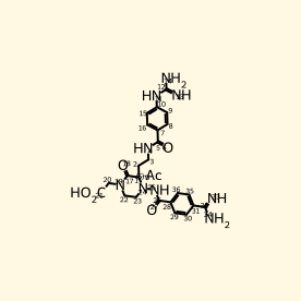 CC(=O)[C@@]1(CCNC(=O)c2ccc(NC(=N)N)cc2)C(=O)N(CC(=O)O)CCN1NC(=O)c1ccc(C(=N)N)cc1